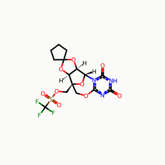 O=c1nc2n(c(=O)[nH]1)[C@@H]1O[C@](COS(=O)(=O)C(F)(F)F)(CO2)[C@H]2OC3(CCCC3)O[C@@H]12